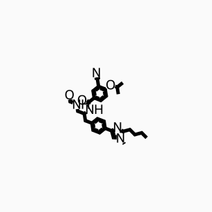 CCCCc1nc(-c2ccc(CC(CNC=O)NC(=O)c3ccc(OC(C)C)c(C#N)c3)cc2)cn1C